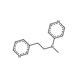 CN(CCc1cccnc1)c1ccncc1